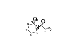 C=CC([O])N1CCCCC1=O